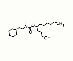 CCCCCCC(CCCO)OC(=O)NCCN1CCCCC1